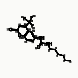 CCCCCCNC(=O)Nc1ccc2oc(=O)cc(C(F)(F)F)c2c1